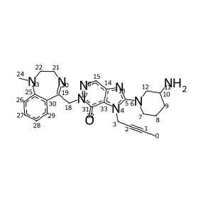 CC#CCn1c(N2CCCC(N)C2)nc2cnn(CC3=NCCN(C)c4ccccc43)c(=O)c21